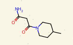 CC1CCN(C(=O)CC(N)=O)CC1